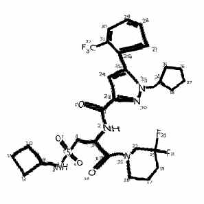 O=C(NC(CS(=O)(=O)NC1CCC1)C(=O)N1CCCC(F)(F)C1)c1cc(-c2ccccc2C(F)(F)F)n(C2CCCC2)n1